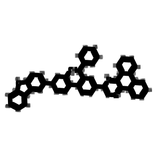 CC1=C(c2ccc(-c3cnc4c5ccccc5c5ccccc5c4n3)cc2Cc2ccccc2)C=CC(c2ccc3oc4ccccc4c3c2)C1